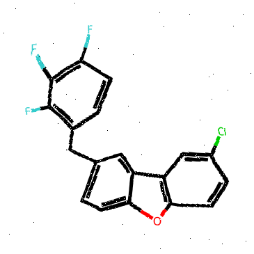 Fc1ccc([CH]c2ccc3oc4ccc(Cl)cc4c3c2)c(F)c1F